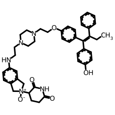 CCC(=C(c1ccc(O)cc1)c1ccc(OCCN2CCN(CCNc3ccc4c(c3)C[N+]([O-])(C3CCC(=O)NC3=O)C4)CC2)cc1)c1ccccc1